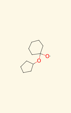 [O]C1(OC2CCCC2)CCCCC1